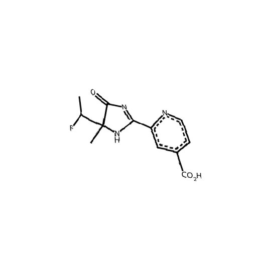 CC(F)C1(C)NC(c2cc(C(=O)O)ccn2)=NC1=O